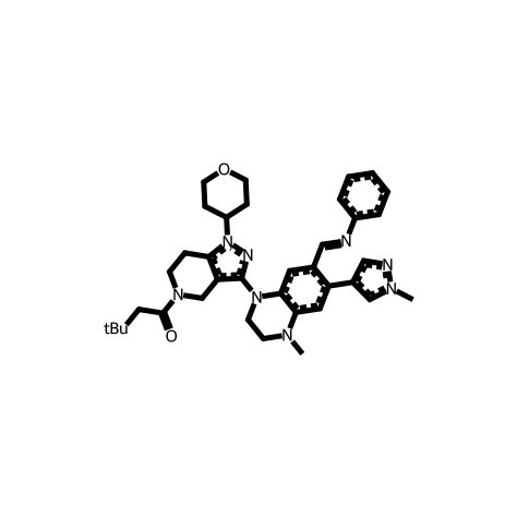 CN1CCN(c2nn(C3CCOCC3)c3c2CN(C(=O)CC(C)(C)C)CC3)c2cc(C=Nc3ccccc3)c(-c3cnn(C)c3)cc21